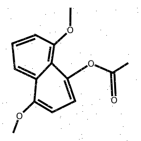 COc1ccc(OC(C)=O)c2c(OC)cccc12